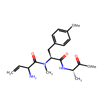 C=CC(N)C(=O)N(C)[C@@H](Cc1ccc(OC)cc1)C(=O)N[C@@H](C)C(=O)OC